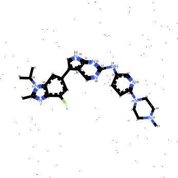 Cc1nc2c(F)cc(-c3c[nH]c4nc(Nc5ccc(N6CCN(C)CC6)nc5)ncc34)cc2n1C(C)C